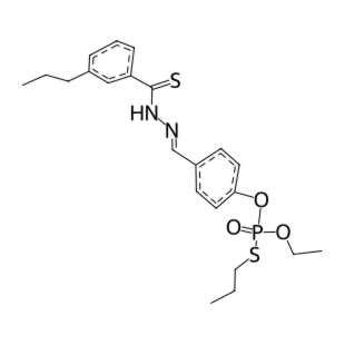 CCCSP(=O)(OCC)Oc1ccc(C=NNC(=S)c2cccc(CCC)c2)cc1